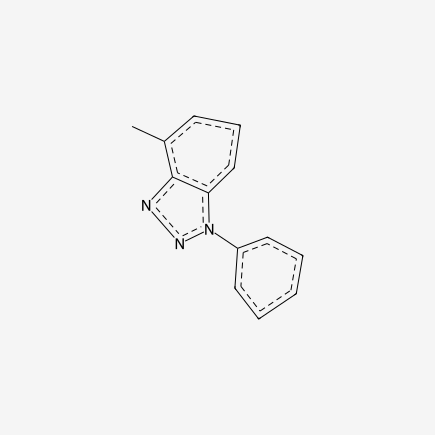 Cc1cccc2c1nnn2-c1ccccc1